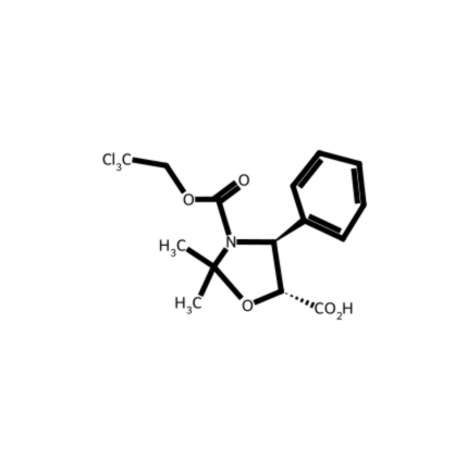 CC1(C)O[C@@H](C(=O)O)[C@H](c2ccccc2)N1C(=O)OCC(Cl)(Cl)Cl